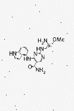 COC[C@H](N)CNc1ncc(C(N)=O)c(Nc2cccc3[nH]ccc23)n1